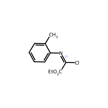 CCOC(=O)/C(Cl)=N\c1ccccc1C